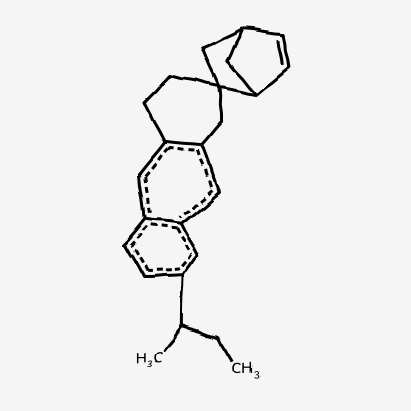 CCC(C)c1ccc2cc3c(cc2c1)CC1(CC3)CC2C=CC1C2